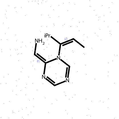 C/C=C(/C(C)C)N1C=NC=N/C1=C/N